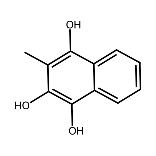 Cc1c(O)c(O)c2ccccc2c1O